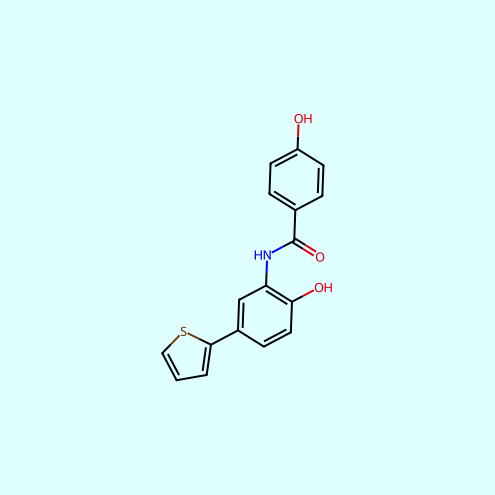 O=C(Nc1cc(-c2cccs2)ccc1O)c1ccc(O)cc1